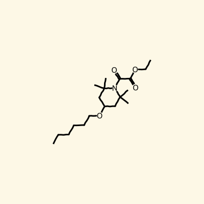 CCCCCCOC1CC(C)(C)N(C(=O)C(=O)OCC)C(C)(C)C1